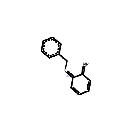 N=C1C=CC=C/C1=N/Cc1ccccc1